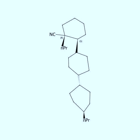 CCC[C@@]1(C#N)CCCC[C@H]1C1CCC([C@H]2CC[C@H](CCC)CC2)CC1